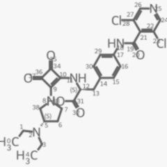 CCN(CC)[C@H]1CCN(c2c(N[C@@H](Cc3ccc(NC(=O)c4c(Cl)cncc4Cl)cc3)C(=O)O)c(=O)c2=O)C1